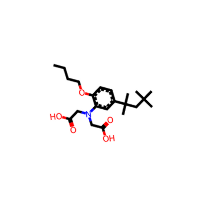 CCCCOc1ccc(C(C)(C)CC(C)(C)C)cc1N(CC(=O)O)CC(=O)O